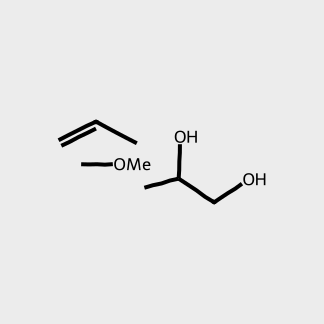 C=CC.CC(O)CO.COC